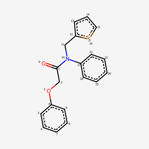 O=C(COc1ccccc1)N(Cc1cccs1)c1ccccc1